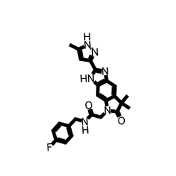 Cc1cc(-c2nc3cc4c(cc3[nH]2)N(CC(=O)NCc2ccc(F)cc2)C(=O)C4(C)C)n[nH]1